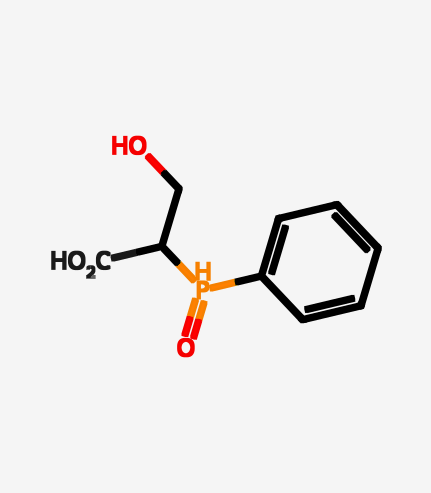 O=C(O)C(CO)[PH](=O)c1ccccc1